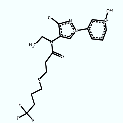 CCN(C(=O)CCSCCCC(F)(F)F)c1cn(-c2ccc[n+](O)c2)nc1Cl